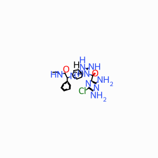 CCNC(=O)C(c1ccccc1)[N+]12CCC(CC1)[C@H](NC(=N)NC(=O)c1nc(Cl)c(N)nc1N)C2